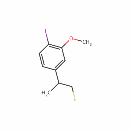 [CH2]C(CF)c1ccc(I)c(OC)c1